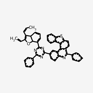 C=CC1=C(/C=C\C)C2C=CC=C(c3nc(-c4ccccc4)nc(-c4ccc5nc(-c6ccccc6)c6ccc7sc8ccccc8c7c6c5c4)n3)C2O1